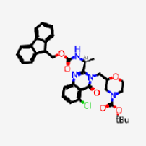 C[C@H](NC(=O)OCC1c2ccccc2-c2ccccc21)c1nc2cccc(Cl)c2c(=O)n1CC1CN(C(=O)OC(C)(C)C)CCO1